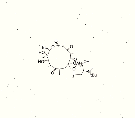 CC[C@H]1OC(=O)[C@H](C)C(=O)[C@H](C)[C@@H](O[C@@H]2O[C@H](C)C[C@H](N(C)C(C)(C)C)[C@H]2O)[C@](C)(OC)C[C@@H](C)C(=O)[C@H](C)[C@@H](O)[C@]1(C)O